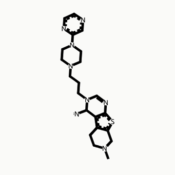 CN1CCc2c(sc3c2C([N])N(CCCN2CCN(c4cnccn4)CC2)C=N3)C1